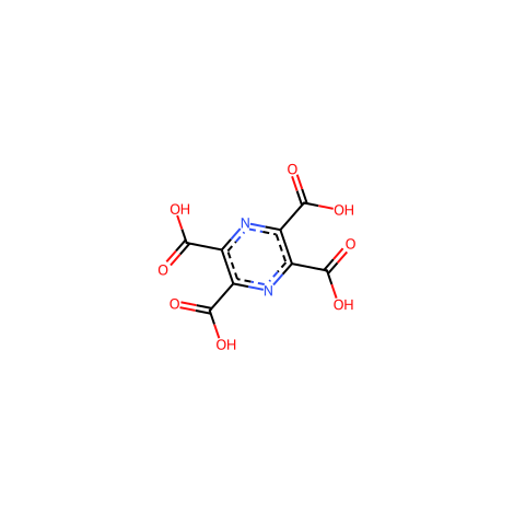 O=C(O)c1nc(C(=O)O)c(C(=O)O)nc1C(=O)O